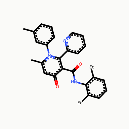 CCc1cccc(CC)c1NC(=O)c1c(-c2ccccn2)n(-c2cccc(C)c2)c(C)cc1=O